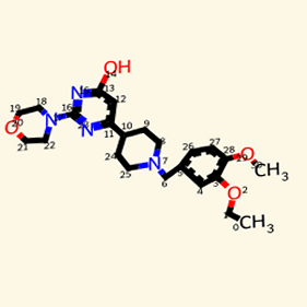 CCOc1cc(CN2CCC(c3cc(O)nc(N4CCOCC4)n3)CC2)ccc1OC